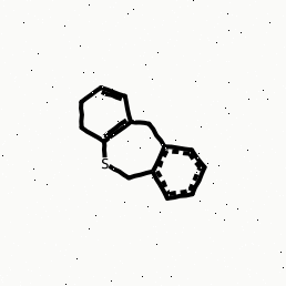 C1=CC2=C(CC1)SCc1ccccc1C2